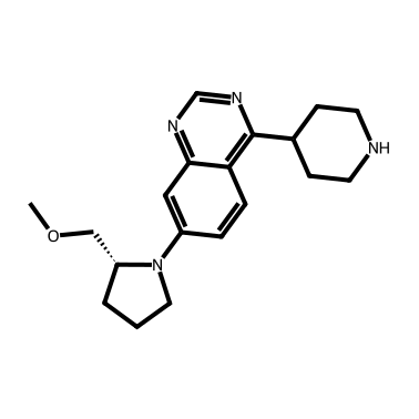 COC[C@H]1CCCN1c1ccc2c(C3CCNCC3)ncnc2c1